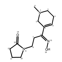 CN1CCC=C(C(CCN2CCCC2=O)=NO)C1